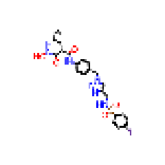 CC(C)CCC(C(=O)NO)C(=O)Nc1ccc(Cn2cc(CNS(=O)(=O)c3ccc(I)cc3)nn2)cc1